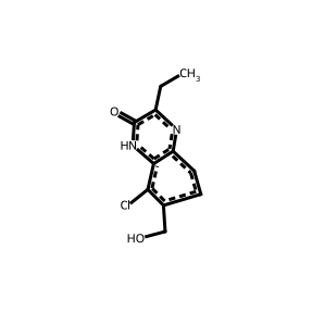 CCc1nc2ccc(CO)c(Cl)c2[nH]c1=O